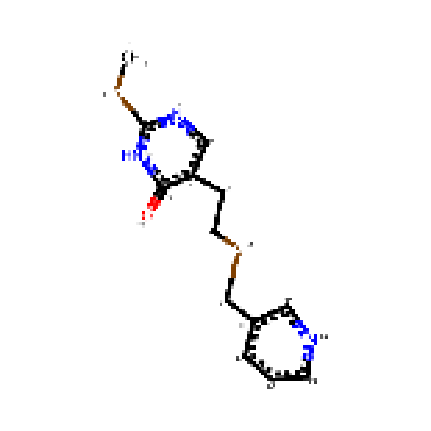 CSc1ncc(CCSCc2cccnc2)c(=O)[nH]1